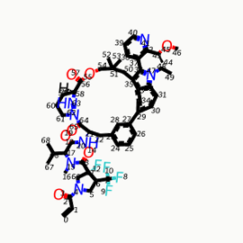 C=CC(=O)N1CC(C(F)(F)F)[C@](F)(C(=O)N(C)C(C(=O)N[C@H]2Cc3cccc(c3)-c3ccc4c(c3)c(c(-c3cccnc3[C@H](C)OC)n4CC)CC(C)(C)COC(=O)[C@@H]3CCCN(N3)C2=O)C(C)C)C1